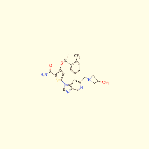 C[C@@H](Oc1cc(-n2cnc3cnc(CN4CC(O)C4)cc32)sc1C(N)=O)c1ccccc1C(F)(F)F